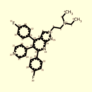 CCN(CC)CCn1cc2c(-c3ccc(F)cc3)c(-c3ccncc3)c(-c3ccc(F)cc3)nc2n1